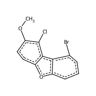 COc1ccc2oc3cccc(Br)c3c2c1Cl